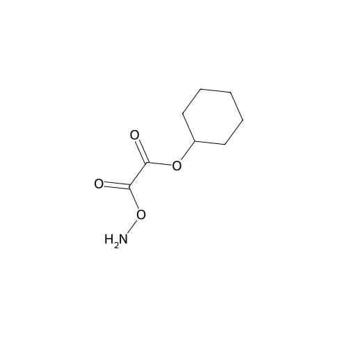 NOC(=O)C(=O)OC1CCCCC1